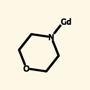 [Gd][N]1CCOCC1